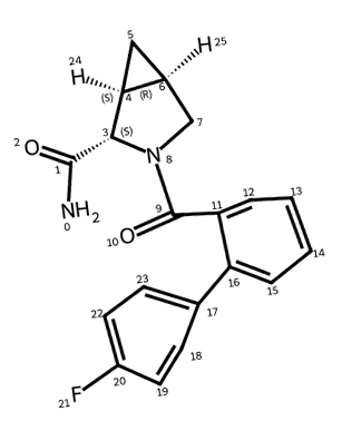 NC(=O)[C@@H]1[C@H]2C[C@H]2CN1C(=O)c1ccccc1-c1ccc(F)cc1